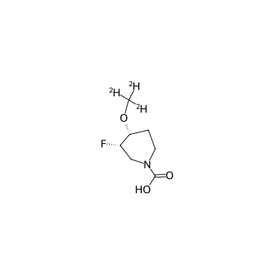 [2H]C([2H])([2H])O[C@@H]1CCN(C(=O)O)C[C@@H]1F